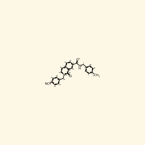 Cc1ccc(CNC(=O)c2ccc3ccn(Cc4ccc(C#N)cc4)c(=O)c3c2)cc1